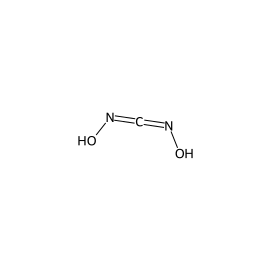 ON=C=NO